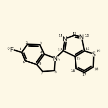 Fc1ccc2c(c1)CCN2c1ncnc2c1C=C=CS2